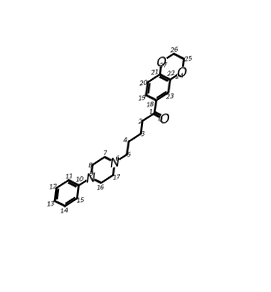 O=C(CCCCN1CCN(c2ccccc2)CC1)c1ccc2c(c1)OCCO2